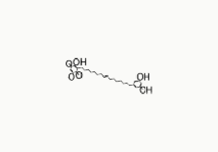 COC1=CC(=O)C(O)=C(CCCCCCCC=CCCCCCCCc2cc(O)cc(O)c2)C1=O